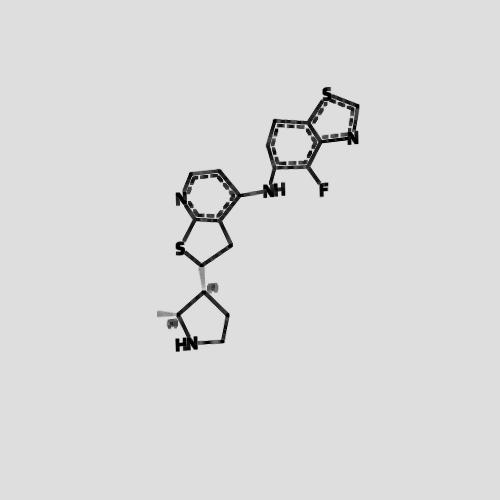 C[C@H]1NCC[C@H]1C1Cc2c(Nc3ccc4scnc4c3F)ccnc2S1